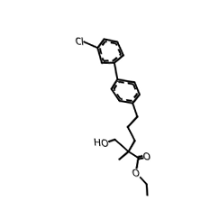 CCOC(=O)C(C)(CO)CCCc1ccc(-c2cccc(Cl)c2)cc1